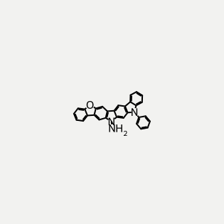 Nn1c2cc3c(cc2c2cc4c5ccccc5n(-c5ccccc5)c4cc21)oc1ccccc13